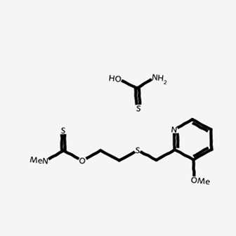 CNC(=S)OCCSCc1ncccc1OC.NC(O)=S